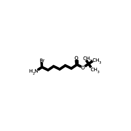 CC(C)(C)OC(=O)CCCCCC(N)Br